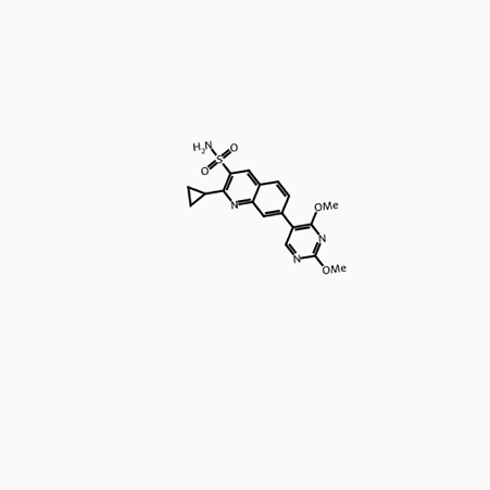 COc1ncc(-c2ccc3cc(S(N)(=O)=O)c(C4CC4)nc3c2)c(OC)n1